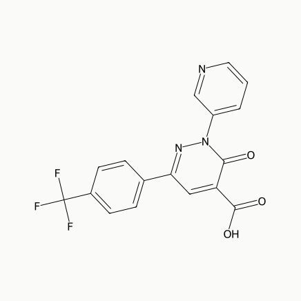 O=C(O)c1cc(-c2ccc(C(F)(F)F)cc2)nn(-c2cccnc2)c1=O